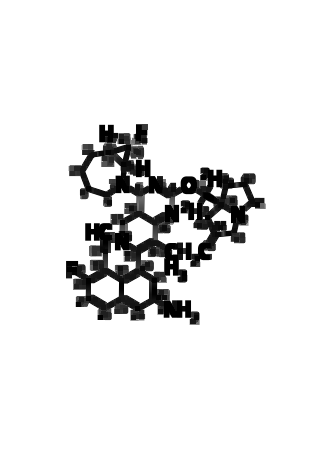 [2H]C([2H])(Oc1nc(N2CCCC[C@H]3[C@H](F)[C@H]32)c2cnc(-c3cc(N)cc4ccc(F)c(C#C)c34)c(C)c2n1)[C@@]12CCCN1CC(=C)C2